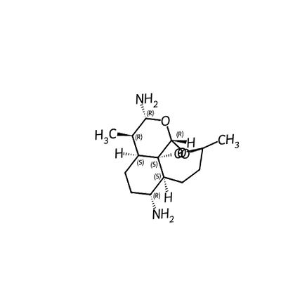 C[C@H]1[C@H](N)O[C@@H]2OC3(C)CC[C@H]4[C@H](N)CC[C@@H]1[C@@]24OO3